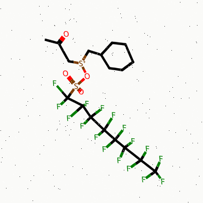 CC(=O)C[S+](CC1CCCCC1)OS(=O)(=O)C(F)(F)C(F)(F)C(F)(F)C(F)(F)C(F)(F)C(F)(F)C(F)(F)C(F)(F)F